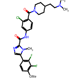 COc1ccc(-c2cnc(C(=O)Nc3ccc(C(=O)N4CCC(CCN(C)C)CC4)c(Cl)c3)n2C)c(F)c1F